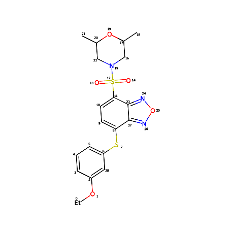 CCOc1cccc(Sc2ccc(S(=O)(=O)N3CC(C)OC(C)C3)c3nonc23)c1